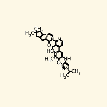 CC(C)n1cc(Nc2cc(-c3ccnc(-n4ccn5c6c(cc5c4=O)CC(C)(C)C6)c3CO)nn(C)c2=O)nn1